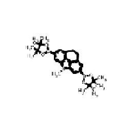 Cn1c2cc(B3OC(C)(C)C(C)(C)O3)cc3c2c2c(cc(B4OC(C)(C)C(C)(C)O4)cc21)CC3